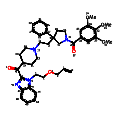 C=CCOCCn1c(C(=O)C2CCN(CCC3(c4ccccc4)CCN(C(=O)c4cc(OC)c(OC)c(OC)c4)C3)CC2)nc2ccccc21